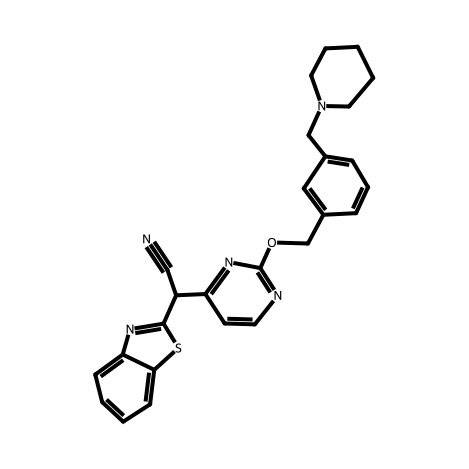 N#CC(c1ccnc(OCc2cccc(CN3CCCCC3)c2)n1)c1nc2ccccc2s1